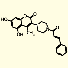 Cc1c(N2CCN(C(=O)C=Cc3ccccc3)CC2)c(=O)oc2cc(O)cc(O)c12